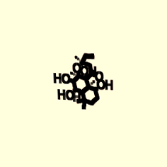 C=C[C@@]1(C)CC(=O)[C@]2(O)[C@@]3(C)C(O)CCC(C)(C)[C@@H]3C(O)C(O)[C@@]2(C)O1